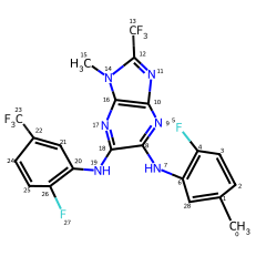 Cc1ccc(F)c(Nc2nc3nc(C(F)(F)F)n(C)c3nc2Nc2cc(C(F)(F)F)ccc2F)c1